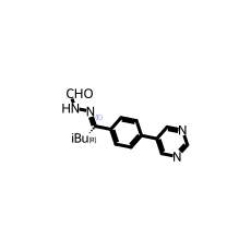 CC[C@@H](C)/C(=N\NC=O)c1ccc(-c2cncnc2)cc1